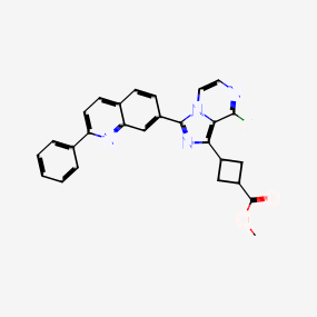 COC(=O)C1CC(c2nc(-c3ccc4ccc(-c5ccccc5)nc4c3)n3ccnc(Cl)c23)C1